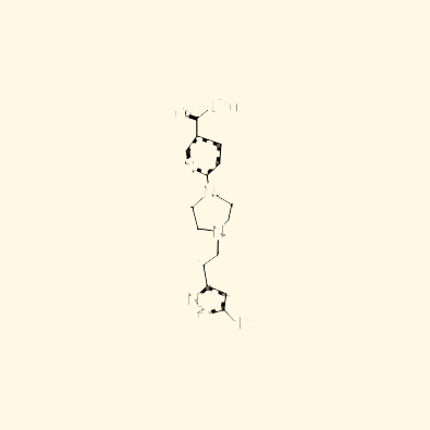 CC(C)c1cc(CCN2CCN(c3ccc(C(=O)C(C)(C)C)cn3)CC2)no1